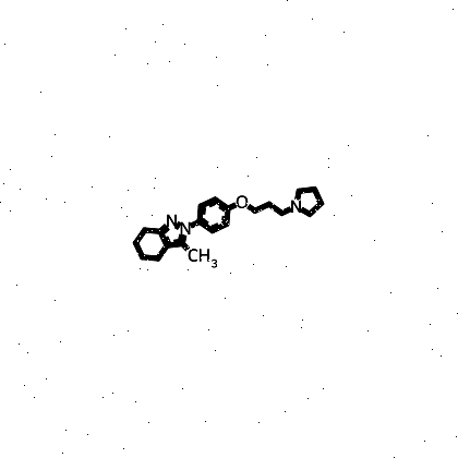 Cc1c2c(nn1-c1ccc(OCCCN3CCCC3)cc1)CCCC2